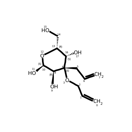 C=CCO[C@]1(CC=C)[C@@H](O)[C@@H](O)O[C@H](CO)[C@@H]1O